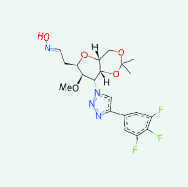 CO[C@@H]1[C@@H](n2cc(-c3cc(F)c(F)c(F)c3)nn2)[C@H]2OC(C)(C)OC[C@H]2O[C@@H]1CC=NO